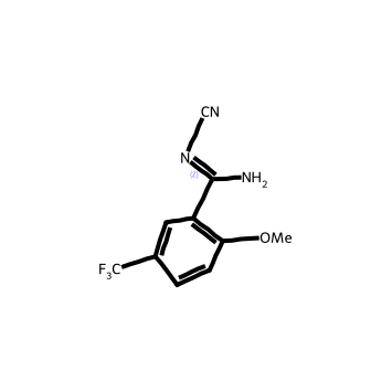 COc1ccc(C(F)(F)F)cc1/C(N)=N/C#N